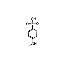 O=S(=O)(O)c1ccc(NF)cc1